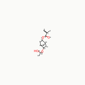 C=C(C)C(=O)OC1CC2CC1CC2OC(C)O